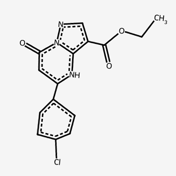 CCOC(=O)c1cnn2c(=O)cc(-c3ccc(Cl)cc3)[nH]c12